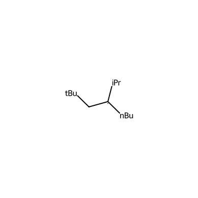 CCCC[C](CC(C)(C)C)C(C)C